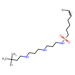 CC/C=C\CCCCS(=O)(=O)NCCCNCCCNCCC(C)(C)CC